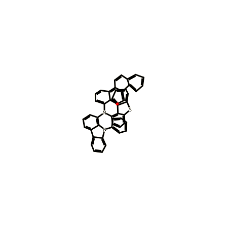 c1ccc(-n2c3ccccc3c3cccc(N(c4cccc5c4ccc4c6ccccc6ccc54)c4cccc5sc6ccccc6c45)c32)cc1